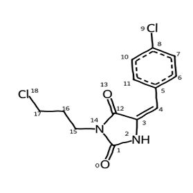 O=C1N/C(=C/c2ccc(Cl)cc2)C(=O)N1CCCCl